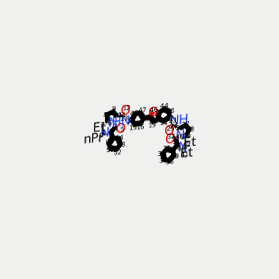 CCCN(CC)[C@@H](C(=O)N1CCC[C@H]1C(=O)Nc1ccc(-c2cc3cc(NC(=O)[C@@H]4CCCN4C(=O)[C@@H](c4ccccc4)N(CC)CC)ccc3o2)cc1)c1ccccc1